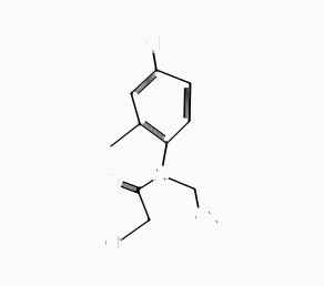 Cc1cc(Cl)ccc1N(CC#N)C(=O)CCl